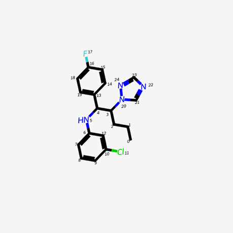 CCCC(C(Nc1cccc(Cl)c1)c1ccc(F)cc1)n1cncn1